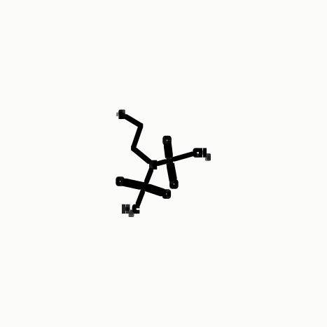 CS(=O)(=O)N(CC[S])S(C)(=O)=O